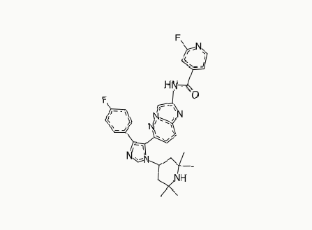 CC1(C)CC(n2cnc(-c3ccc(F)cc3)c2-c2ccc3nc(NC(=O)c4ccnc(F)c4)cn3n2)CC(C)(C)N1